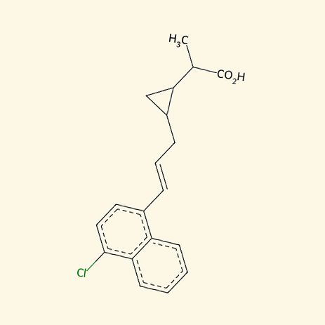 CC(C(=O)O)C1CC1CC=Cc1ccc(Cl)c2ccccc12